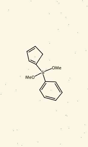 CO[Si](OC)(C1=CC=CC1)c1ccccc1